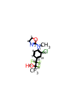 CN(C1=NCCO1)c1ccc(C(F)(F)C(O)(F)C(F)(F)F)cc1Cl